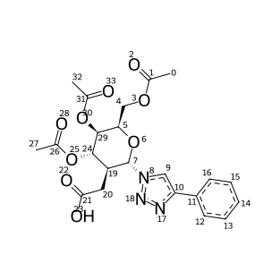 CC(=O)OC[C@H]1O[C@H](n2cc(-c3ccccc3)nn2)[C@@H](CC(=O)O)[C@H](OC(C)=O)[C@H]1OC(C)=O